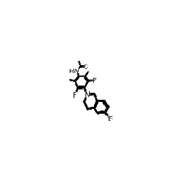 CC(=O)Nc1c(C)c(F)c(N2CCc3cc(F)ccc3C2)c(F)c1C